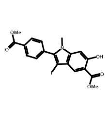 COC(=O)c1ccc(-c2c(I)c3cc(C(=O)OC)c(O)cc3n2C)cc1